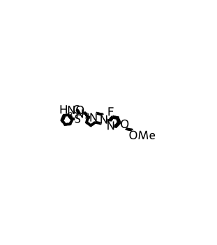 COCCOc1cnc(N2CCN3C(CN(C)SC4=C([N+](=O)[O-])C=CCC4)CCC3C2)c(F)c1